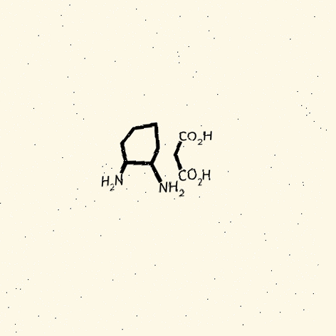 NC1CCCCC1N.O=C(O)CC(=O)O